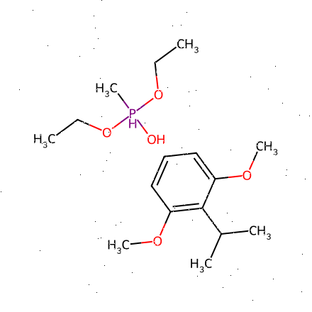 CCO[PH](C)(O)OCC.COc1cccc(OC)c1C(C)C